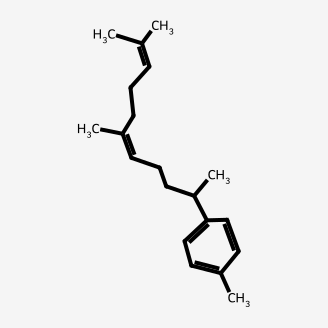 CC(C)=CCCC(C)=CCCC(C)c1ccc(C)cc1